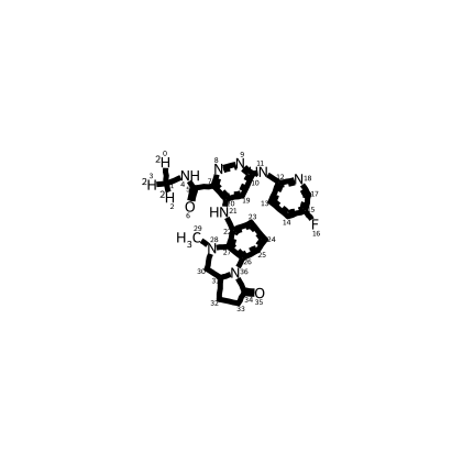 [2H]C([2H])([2H])NC(=O)c1nnc(Nc2ccc(F)cn2)cc1Nc1cccc2c1N(C)CC1CCC(=O)N21